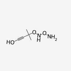 CC(C)(C#CO)ONON